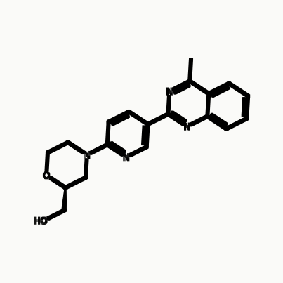 Cc1nc(-c2ccc(N3CCO[C@H](CO)C3)nc2)nc2ccccc12